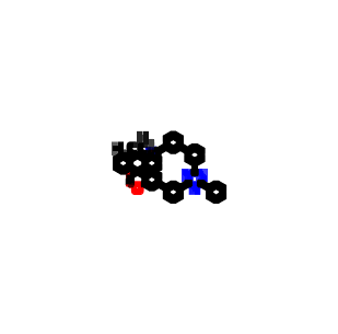 CC1(C)c2ccccc2C2(c3ccccc3Oc3cc(-c4cccc(-c5nc(-c6ccccc6)nc(-c6cccc(-c7cccc(C#N)c7)c6)n5)c4)ccc32)c2ccccc21